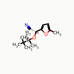 Cc1ccc([C@@H](C#N)O[Si](C)(C)C(C)(C)C)o1